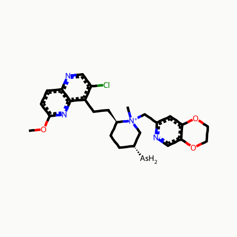 COc1ccc2ncc(Cl)c(CC[C@@H]3CC[C@@H]([AsH2])C[N+]3(C)Cc3cc4c(cn3)OCCO4)c2n1